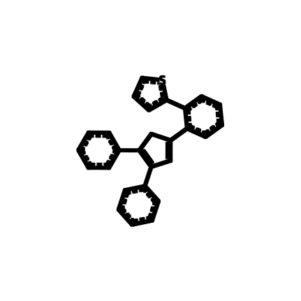 C1=C(c2ccccc2-c2cccs2)CC(c2ccccc2)=C1c1ccccc1